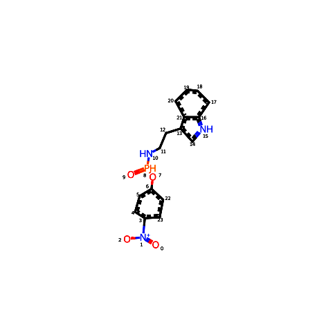 O=[N+]([O-])c1ccc(O[PH](=O)NCCc2c[nH]c3ccccc23)cc1